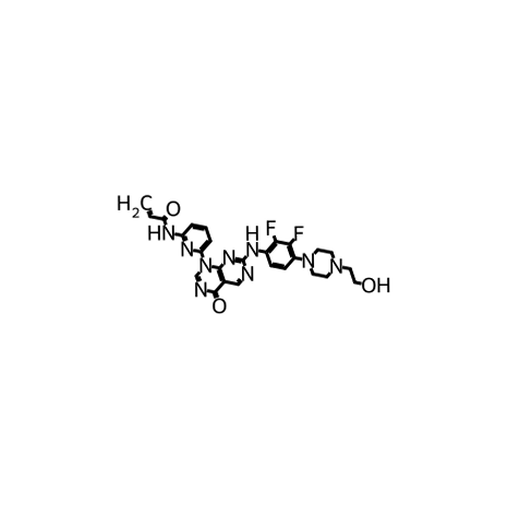 C=CC(=O)Nc1cccc(-n2cnc(=O)c3cnc(Nc4ccc(N5CCN(CCO)CC5)c(F)c4F)nc32)n1